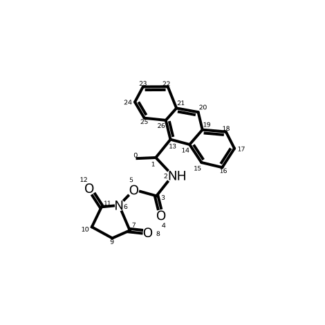 CC(NC(=O)ON1C(=O)CCC1=O)c1c2ccccc2cc2ccccc12